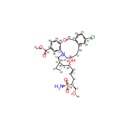 COC[C@H](C/C=C/[C@H](O)[C@@H]1CC[C@H]1CN1CCCCc2cc(Cl)ccc2COc2ccc(C(=O)OC)cc21)S(N)(=O)=O